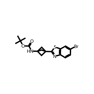 CC(C)(C)OC(=O)NC12CC(c3nc4ccc(Br)cc4s3)(C1)C2